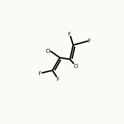 FC(F)=C(Cl)C(Cl)=C(F)F